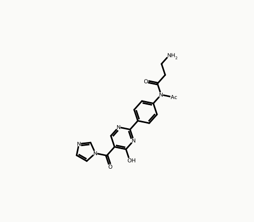 CC(=O)N(C(=O)CCN)c1ccc(-c2ncc(C(=O)n3ccnc3)c(O)n2)cc1